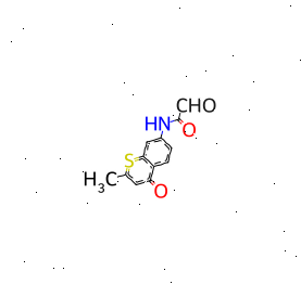 Cc1cc(=O)c2ccc(NC(=O)C=O)cc2s1